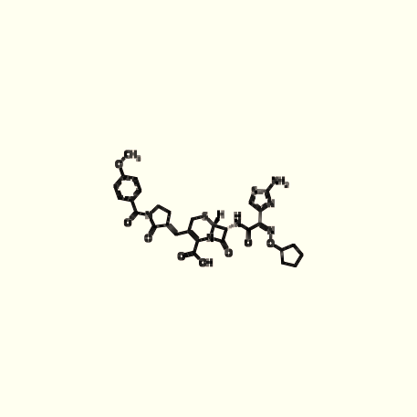 COc1ccc(C(=O)N2CC/C(=C\C3=C(C(=O)O)N4C(=O)[C@@H](NC(=O)/C(=N\OC5CCCC5)c5csc(N)n5)[C@H]4SC3)C2=O)cc1